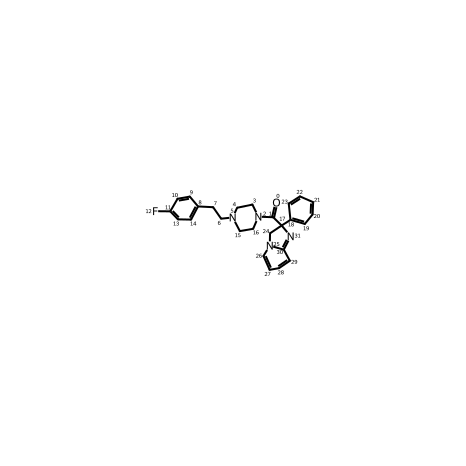 O=C(N1CCN(CCc2ccc(F)cc2)CC1)C1(c2ccccc2)CN2C=CC=CC2=N1